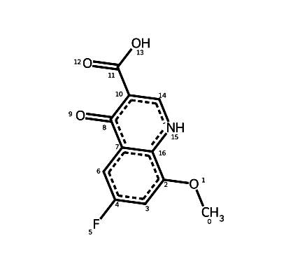 COc1cc(F)cc2c(=O)c(C(=O)O)c[nH]c12